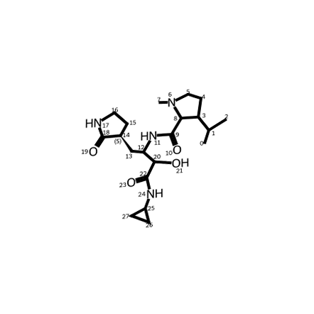 CC(C)C1CCN(C)C1C(=O)NC(C[C@@H]1CCNC1=O)C(O)C(=O)NC1CC1